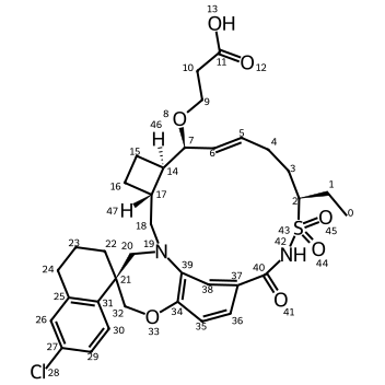 CC[C@@H]1CC/C=C/[C@H](OCCC(=O)O)[C@@H]2CC[C@H]2CN2C[C@@]3(CCCc4cc(Cl)ccc43)COc3ccc(cc32)C(=O)NS1(=O)=O